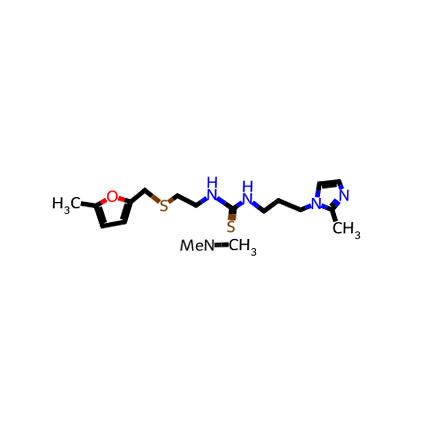 CNC.Cc1ccc(CSCCNC(=S)NCCCn2ccnc2C)o1